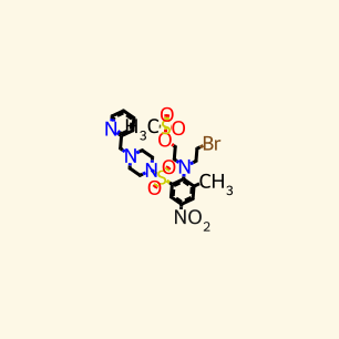 Cc1cc([N+](=O)[O-])cc(S(=O)(=O)N2CCN(Cc3ccccn3)CC2)c1N(CCBr)CCOS(C)(=O)=O